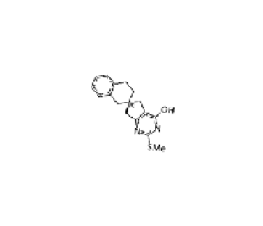 CSc1nc(O)c2c(n1)C[C@@]1(CCc3ccccc3C1)C2